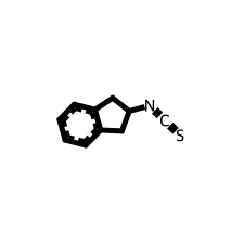 S=C=NC1Cc2ccccc2C1